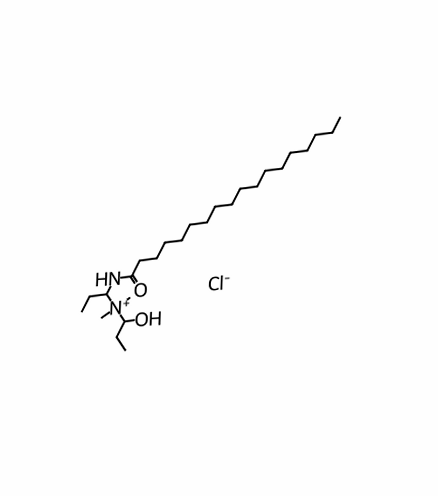 CCCCCCCCCCCCCCCCCC(=O)NC(CC)[N+](C)(C)C(O)CC.[Cl-]